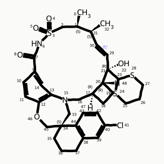 C[C@@H]1CS(=O)(=O)NC(=O)c2ccc3c(c2)N(C[C@@H]2CC[C@H]2[C@](O)(C2SCCCS2)/C=C/[C@@H]1C)C[C@@]1(CCCc2cc(Cl)ccc21)CO3